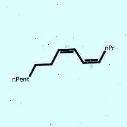 [CH2]CCCCCC/C=C\C=C/CCC